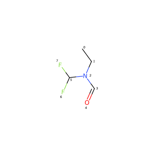 CCN(C=O)C(F)F